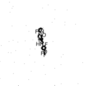 O=C1c2cc(CNc3ccc(OC(F)F)cc3F)nn2CCN1c1ncccc1F